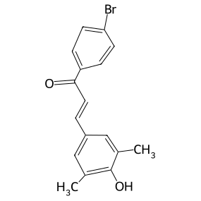 Cc1cc(/C=C/C(=O)c2ccc(Br)cc2)cc(C)c1O